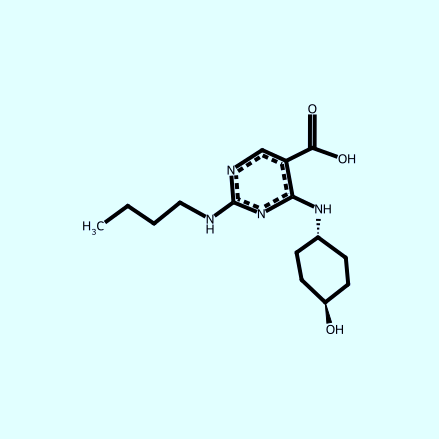 CCCCNc1ncc(C(=O)O)c(N[C@H]2CC[C@H](O)CC2)n1